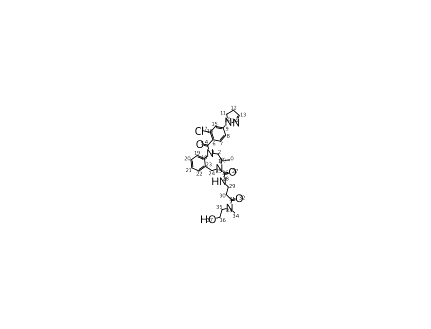 C[C@@H]1CN(C(=O)c2ccc(N3CCC=N3)cc2Cl)c2ccccc2CN1C(=O)NCCC(=O)N(C)CCO